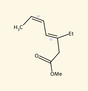 C/C=C\C=C(/CC)CC(=O)OC